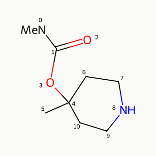 CNC(=O)OC1(C)CCNCC1